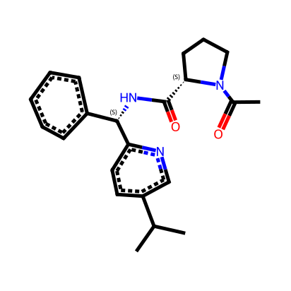 CC(=O)N1CCC[C@H]1C(=O)N[C@@H](c1ccccc1)c1ccc(C(C)C)cn1